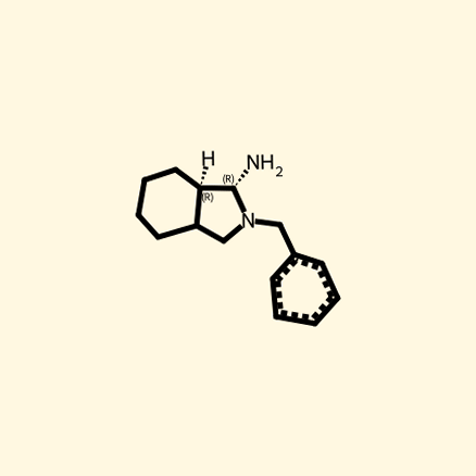 N[C@H]1[C@@H]2CCCCC2CN1Cc1ccccc1